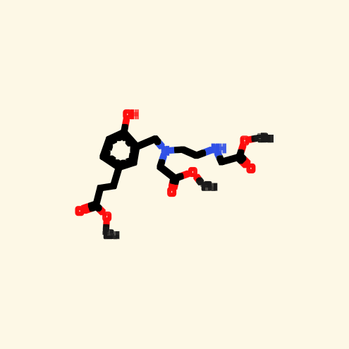 CC(C)(C)OC(=O)CCc1ccc(O)c(CN(CCNCC(=O)OC(C)(C)C)CC(=O)OC(C)(C)C)c1